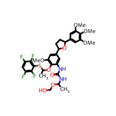 COc1cc(C2CCC(c3cc(OC)c(OC)c(OC)c3)O2)cc(NC(=O)NC(C)OCO)c1OC(C)Sc1c(F)c(F)cc(F)c1F